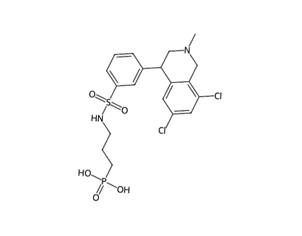 CN1Cc2c(Cl)cc(Cl)cc2C(c2cccc(S(=O)(=O)NCCCP(=O)(O)O)c2)C1